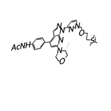 CC(=O)Nc1ccc(-c2cc(N3CCOC[C@H]3C)nc3c2cnn3-c2ccn(COCC[Si](C)(C)C)n2)cc1